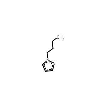 CCCCn1cccn1